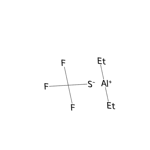 C[CH2][Al+][CH2]C.FC(F)(F)[S-]